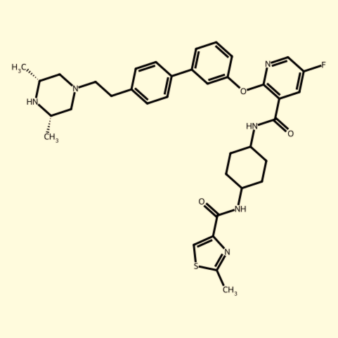 Cc1nc(C(=O)NC2CCC(NC(=O)c3cc(F)cnc3Oc3cccc(-c4ccc(CCN5C[C@@H](C)N[C@@H](C)C5)cc4)c3)CC2)cs1